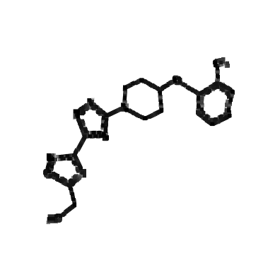 OCc1nc(-c2nnc(N3CCC(Oc4ccccc4C(F)(F)F)CC3)s2)no1